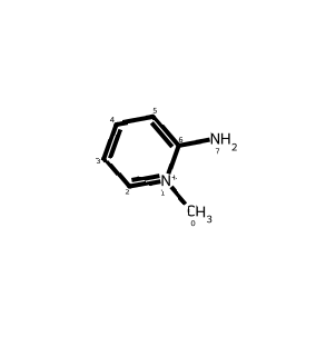 C[n+]1ccccc1N